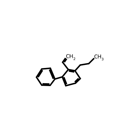 C=Cc1c(CCC)cccc1-c1ccccc1